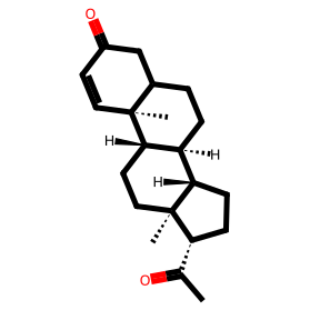 CC(=O)[C@H]1CC[C@H]2[C@@H]3CCC4CC(=O)C=C[C@]4(C)[C@H]3CC[C@]12C